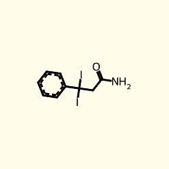 NC(=O)CC(I)(I)c1ccccc1